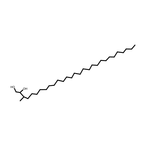 CCCCCCCCCCCCCCCCCCCCCCCCCCC(C)C(O)CO